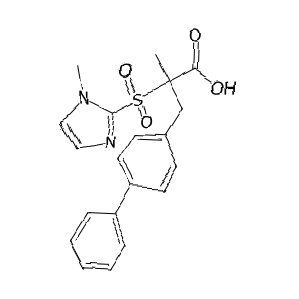 Cn1ccnc1S(=O)(=O)C(C)(Cc1ccc(-c2ccccc2)cc1)C(=O)O